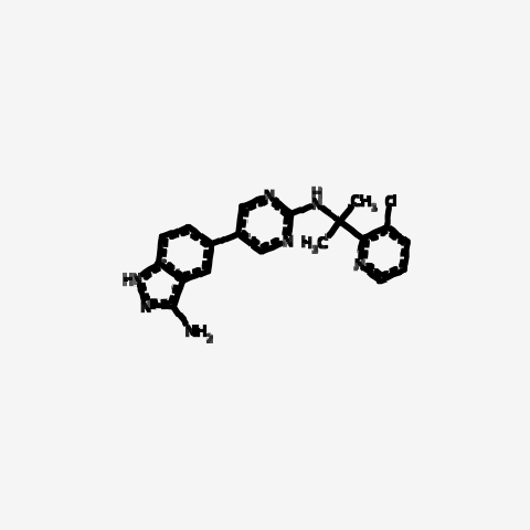 CC(C)(Nc1ncc(-c2ccc3[nH]nc(N)c3c2)cn1)c1ncccc1Cl